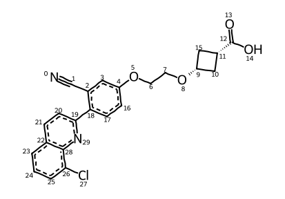 N#Cc1cc(OCCO[C@H]2C[C@@H](C(=O)O)C2)ccc1-c1ccc2cccc(Cl)c2n1